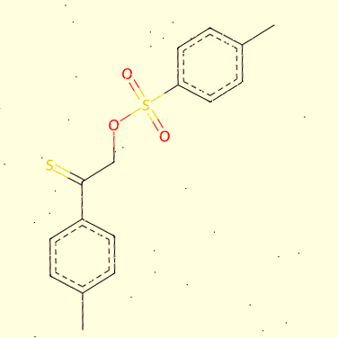 Cc1ccc(C(=S)COS(=O)(=O)c2ccc(C)cc2)cc1